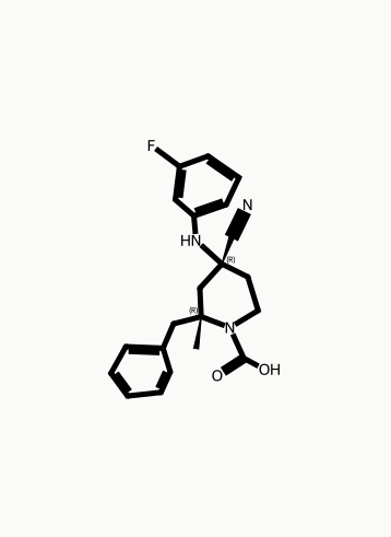 C[C@@]1(Cc2ccccc2)C[C@](C#N)(Nc2cccc(F)c2)CCN1C(=O)O